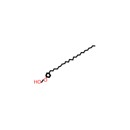 CCCCCCCCCCCCCCCCCCCCCCCCc1ccc(OCCO)cc1